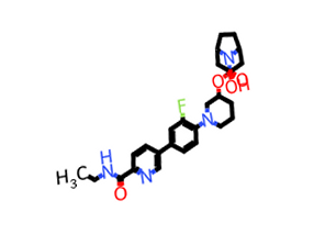 CCNC(=O)c1ccc(-c2ccc(N3CCCC(OC(=O)N4C5CCC4CC(O)C5)C3)c(F)c2)cn1